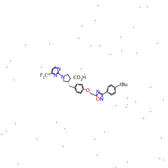 CC(C)(C)c1ccc(-c2noc(COc3ccc(C[C@@H]4CN(c5nccc(C(F)(F)F)n5)C[C@@H]4C(=O)O)cc3)n2)cc1